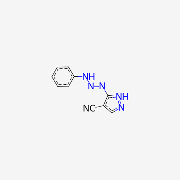 N#Cc1cn[nH]c1N=NNc1ccccc1